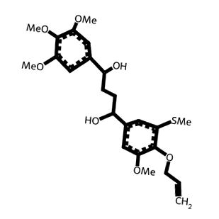 C=CCOc1c(OC)cc(C(O)CCC(O)c2cc(OC)c(OC)c(OC)c2)cc1SC